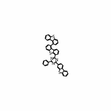 c1ccc(-c2nc(-c3ccc4c(c3)sc3ccccc34)nc(-c3cccc4c3sc3cccc(-c5cccc6sc7ccccc7c56)c34)n2)cc1